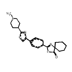 CN1CCC(c2nc(-c3ccc(C4=NC5(CCCCC5)C(=O)O4)cc3)cs2)CC1